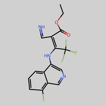 CCOC(=O)/C(C=N)=C(/Nc1cncc2c(F)cccc12)C(F)(F)F